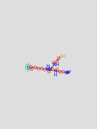 [N-]=[N+]=NCCOCCOCCC(=O)NCCCC[C@H](NC(=O)CCCNC(=O)CCOCCOCCS)C(=O)NCCOCCOCCOCCOCCC(=O)OC1C(F)=C(F)C(F)=C(F)C1F